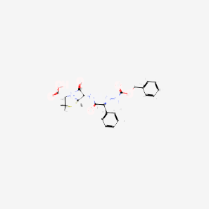 CN(N=C(C(=O)N[C@@H]1C(=O)N2[C@@H]1SC(C)(C)[C@@H]2C(=O)O)c1ccccc1)C(=O)OCc1ccccc1